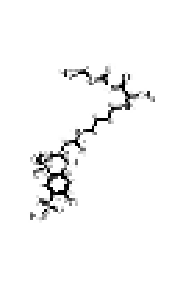 CCOC(=O)OC(=O)C(C)NCCCCNC(=O)C[C@H]1Nc2cc(Cl)c(S(N)(=O)=O)cc2S(=O)(=O)N1